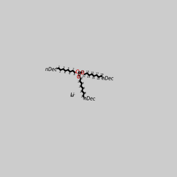 CCCCCCCCCCCCCCCCCCOB(OCCCCCCCCCCCCCCCCCC)OCCCCCCCCCCCCCCCCCC.[Li]